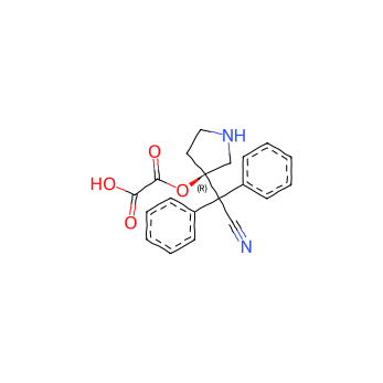 N#CC(c1ccccc1)(c1ccccc1)[C@]1(OC(=O)C(=O)O)CCNC1